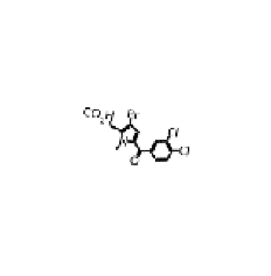 Cn1c(C(=O)c2ccc(Cl)c(Cl)c2)cc(Br)c1CC(=O)O